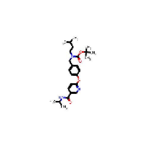 CC(C)CCN(Cc1ccc(Oc2ccc(C(=O)NC(C)C)cn2)cc1)C(=O)OC(C)(C)C